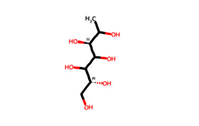 CC(O)[C@H](O)C(O)C(O)[C@H](O)CO